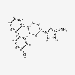 Nc1cn(C2CCN(c3ncccc3-c3ccc(Cl)nc3)CC2)nn1